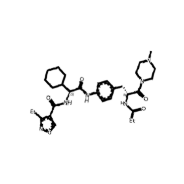 CCC(=O)N[C@H](Cc1ccc(NC(=O)[C@@H](NC(=O)c2conc2CC)C2CCCCC2)cc1)C(=O)N1CCN(C)CC1